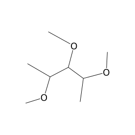 COC(C)C(OC)C(C)OC